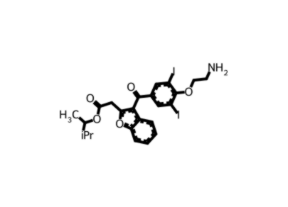 CC(C)C(C)OC(=O)Cc1oc2ccccc2c1C(=O)c1cc(I)c(OCCN)c(I)c1